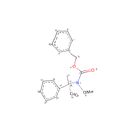 CON(C(=O)OCc1ccccc1)[C@@](C)([C]=O)c1ccccc1